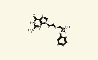 Nc1nc2c(ncn2CCOCP(=O)(O)Oc2ccccc2)c(=O)[nH]1